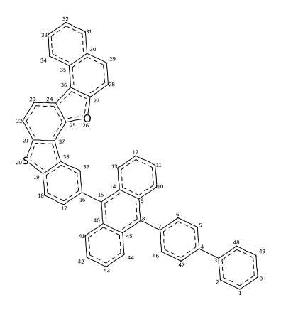 c1ccc(-c2ccc(-c3c4ccccc4c(-c4ccc5sc6ccc7c(oc8ccc9ccccc9c87)c6c5c4)c4ccccc34)cc2)cc1